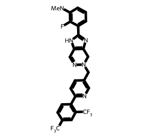 CNc1cccc(-c2nc3c([nH]2)C=NN(Cc2ccc(-c4ccc(C(F)(F)F)cc4C(F)(F)F)nc2)C3)c1F